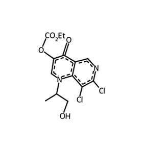 CCOC(=O)Oc1cn(C(C)CO)c2c(Cl)c(Cl)ncc2c1=O